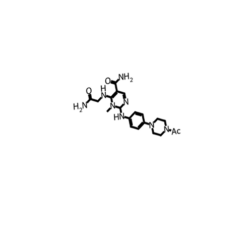 CC(=O)N1CCN(c2ccc(NC3N=CC(C(N)=O)=C(NCC(N)=O)N3C)cc2)CC1